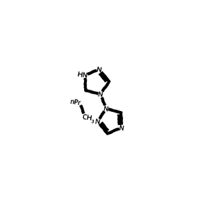 C1=NNCN1n1cncn1.CCCC